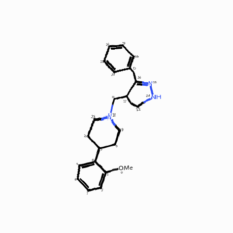 COc1ccccc1C1CCN(CC2CNN=C2c2ccccc2)CC1